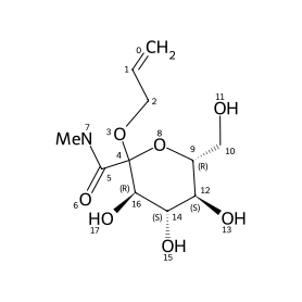 C=CCOC1(C(=O)NC)O[C@H](CO)[C@@H](O)[C@H](O)[C@H]1O